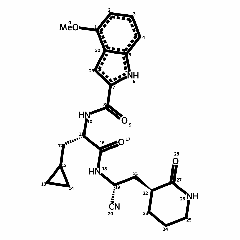 COc1cccc2[nH]c(C(=O)N[C@@H](CC3CC3)C(=O)N[C@@H](C#N)C[C@@H]3CCCNC3=O)cc12